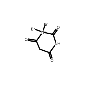 O=C1CC(=O)[N+](Br)(Br)C(=O)N1